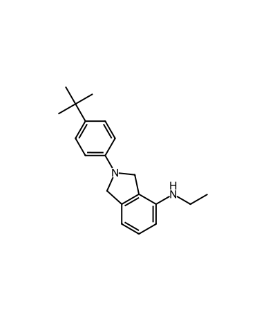 CCNc1cccc2c1CN(c1ccc(C(C)(C)C)cc1)C2